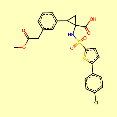 COC(=O)Cc1cccc(C2CC2(NS(=O)(=O)c2ccc(-c3ccc(Cl)cc3)s2)C(=O)O)c1